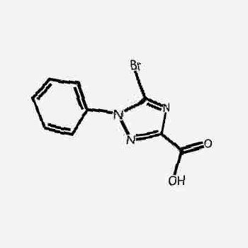 O=C(O)c1nc(Br)n(-c2ccccc2)n1